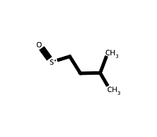 CC(C)[CH]C[S+]=O